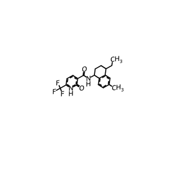 CCC1CCC(NC(=O)c2ccc(C(F)(F)F)[nH]c2=O)c2ccc(C)cc21